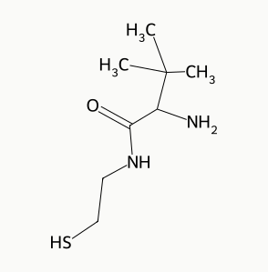 CC(C)(C)C(N)C(=O)NCCS